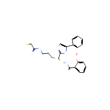 COc1ccccc1C(=O)NS[C@@H](CCCNC(=N)CF)c1ncc(-c2ccccc2)[nH]1